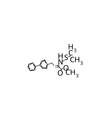 COC(=O)[C@H](CCc1ccc(-c2ccccc2)cc1)NCSC(C)C